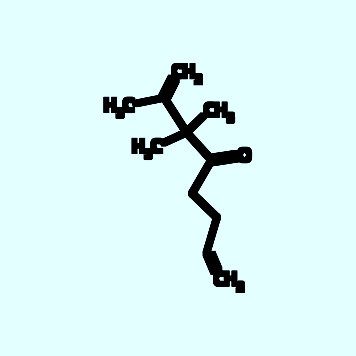 C=CCCC(=O)C(C)(C)C(=C)C